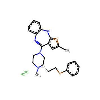 Cc1cc2c(s1)Nc1ccccc1N=C2N1CCN(C)[C@@H](CCSc2ccccc2)C1.Cl.Cl